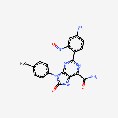 Cc1ccc(-n2c(=O)[nH]c3c(C(N)=O)nc(-c4ccc(N)cc4N=O)nc32)cc1